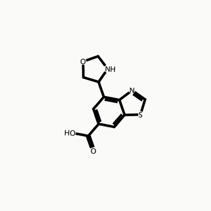 O=C(O)c1cc(C2COCN2)c2ncsc2c1